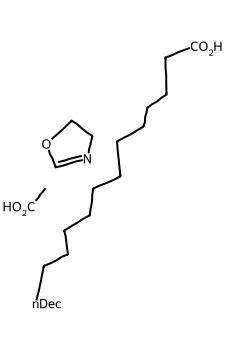 C1=NCCO1.CC(=O)O.CCCCCCCCCCCCCCCCCCCCCC(=O)O